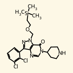 C[Si](C)(C)CCOCn1nc(-c2cccc(Cl)c2Cl)c2ncn(C3CCNCC3)c(=O)c21